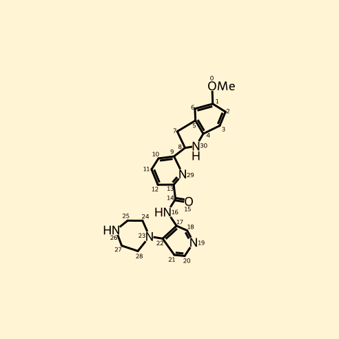 COc1ccc2c(c1)CC(c1cccc(C(=O)Nc3cnccc3N3CCNCC3)n1)N2